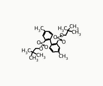 Cc1ccc(-c2ccc(C)cc2S(=O)(=O)OCC(C)(C)C)c(S(=O)(=O)OCC(C)(C)C)c1